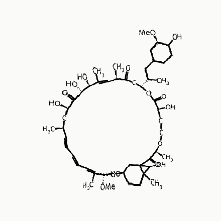 CO[C@H]1C[C@@]2(O)CCC3(C)[C@H](O)C3(C2)C(=O)[C@H](C)OCC[C@H](O)C(=O)O[C@@H](C(C)C[C@@H]2CCC(O)[C@H](OC)C2)CC(=O)[C@H](C)/C=C(\C)[C@H](O)[C@@H](O)C(=O)[C@H](O)C[C@H](C)/C=C/C=C/C=C/1C